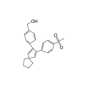 CS(=O)(=O)c1ccc(C2=CC3(C=C2c2ccc(CO)cc2)CCCC3)cc1